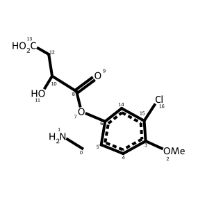 CN.COc1ccc(OC(=O)C(O)CC(=O)O)cc1Cl